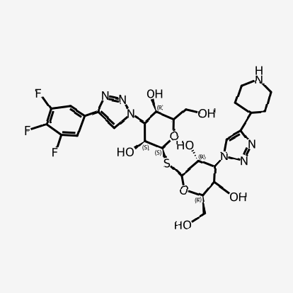 OCC1O[C@@H](SC2O[C@H](CO)C(O)C(n3cc(C4CCNCC4)nn3)[C@H]2O)[C@@H](O)C(n2cc(-c3cc(F)c(F)c(F)c3)nn2)[C@H]1O